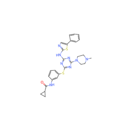 CN1CCN(c2nc(Nc3ncc(-c4ccccc4)s3)nc(Sc3cccc(NC(=O)C4CC4)c3)n2)CC1